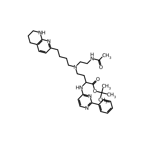 CC(=O)NCCN(CCCCc1ccc2c(n1)NCCC2)CCC(Nc1ccnc(-c2ccccc2)n1)C(=O)OC(C)(C)C